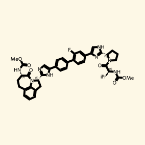 COC(=O)N[C@H]1CCc2cccc3c2N(C1=O)[C@H](c1ncc(-c2ccc(-c4ccc(-c5c[nH]c([C@@H]6CCCN6C(=O)[C@@H](NC(=O)OC)C(C)C)n5)cc4F)cc2)[nH]1)C3